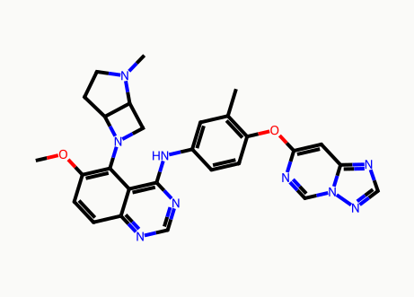 COc1ccc2ncnc(Nc3ccc(Oc4cc5ncnn5cn4)c(C)c3)c2c1N1CC2C1CCN2C